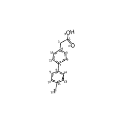 O=C(O)Cc1ccc(-c2ccc(F)cc2)cc1